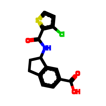 O=C(O)c1ccc2c(c1)C(NC(=O)c1sccc1Cl)CC2